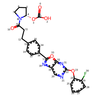 O=C(O)O[C@H]1CCCN1C(=O)CCc1ccc(-c2nc3cnc(Oc4ccccc4F)nc3o2)cc1